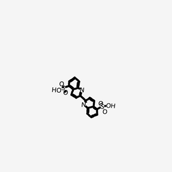 O=S(=O)(O)c1cccc2nc(-c3ccc4c(S(=O)(=O)O)cccc4n3)ccc12